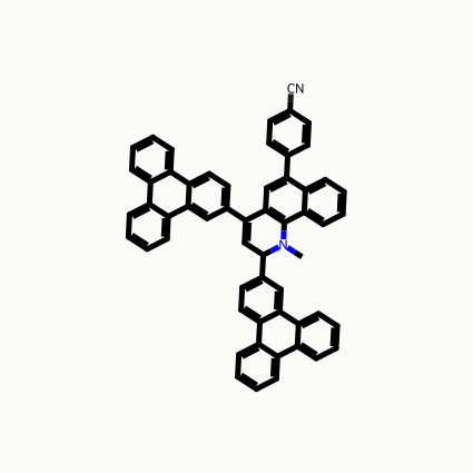 CN1c2c(cc(-c3ccc(C#N)cc3)c3ccccc23)C(c2ccc3c4ccccc4c4ccccc4c3c2)=CC1c1ccc2c3ccccc3c3ccccc3c2c1